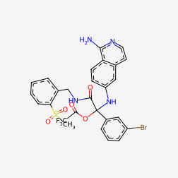 CS(=O)(=O)c1ccccc1CNC(=O)C(Nc1ccc2c(N)nccc2c1)(OC(=O)C(F)(F)F)c1cccc(Br)c1